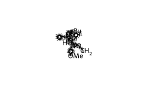 C=CCO[C@@H]1C[C@H]([C@@H](O)[C@H](Cc2cc(F)cc(F)c2)OC(=O)[C@H](CCc2ccccc2)N2CC[C@H](CCCC)C2=O)N(Cc2ccc(OC)cc2)C1